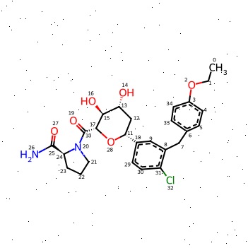 CCOc1ccc(Cc2cc([C@H]3C[C@@H](O)[C@H](O)[C@@H](C(=O)N4CCC[C@H]4C(N)=O)O3)ccc2Cl)cc1